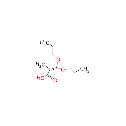 CCCOC(OCCC)=C(C)C(=O)O